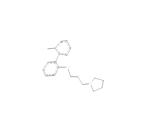 O=Cc1ccccc1-c1ccccc1NCCCN1CCCC1